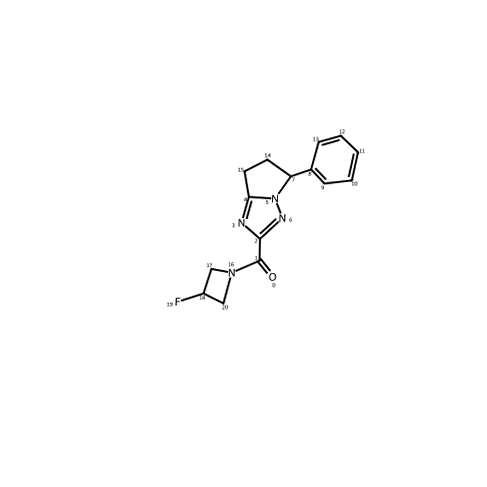 O=C(c1nc2n(n1)C(c1ccccc1)CC2)N1CC(F)C1